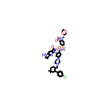 Cn1c(=O)c2cc3[nH]ccc3nc2n1-c1cc(N2CCN(CC3=C(c4ccc(Cl)cc4)CC(C)(C)CC3)CC2)ccc1C(=O)NS(=O)(=O)c1ccc(NC[C@H]2COCCO2)c([N+](=O)[O-])c1